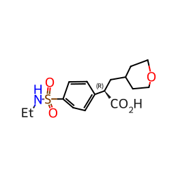 CCNS(=O)(=O)c1ccc([C@@H](CC2CCOCC2)C(=O)O)cc1